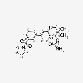 CC1(C)COc2cc(-c3cccc(S(=O)(=O)N4CCCC4)c3)ccc2C1OC(N)=O